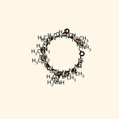 CCCN1C(=O)[C@H](C)NC(=O)[C@H](CC(C)C)NC(=O)[C@H](CC(C)C)NC(=O)[C@@H]2CCCN2C(=O)[C@H](CC(C)C)NC(=O)[C@H](CCCNC(=N)N)NC(=O)[C@H](CC(C)C)NC(=O)[C@H](CC(C)C)NC(=O)[C@@H]2CSC(=N2)c2cccc(c2)C[C@@H](C(N)=O)NC(=O)[C@H](CC(C)C)NC(=O)[C@H](C)NC(=O)[C@H](Cc2ccccc2)NC(=O)[C@H](C)NC(=O)C1C